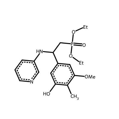 CCOP(=O)(CC(Nc1cccnc1)c1cc(O)c(C)c(OC)c1)OCC